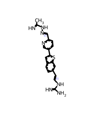 CC(=N)N/N=C/c1ccc(-c2cc3ccc(/C=C/NC(=N)N)cc3s2)cn1